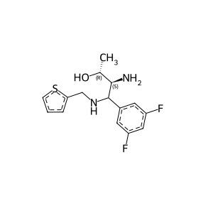 C[C@@H](O)[C@@H](N)C(NCc1cccs1)c1cc(F)cc(F)c1